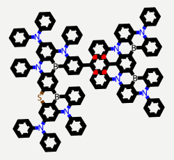 c1ccc(N(c2ccccc2)c2cc3c4c(c2)N(c2ccccc2)c2ccccc2B4c2cc4c(cc2S3)N(c2ccccc2)c2cc(N(c3ccccc3)c3ccccc3)cc3c2B4c2ccc(-c4ccc(-c5c6c(cc7c5N(c5ccccc5)c5cccc8c5B7c5ccccc5N8c5ccccc5)B5c7ccccc7N(c7ccccc7)c7cccc(c75)N6c5ccccc5)cc4)cc2N3c2ccccc2)cc1